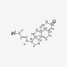 CC(C)C(C)/C=C/[C@@H](C)C1CCC2C3=CCC4=CC(=O)CC[C@]4(C)C3CC[C@@]21C